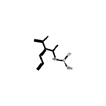 C=C/C=C(/C(=C)C)C(C)N[S@@+]([O-])C(C)(C)C